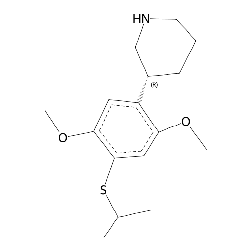 COc1cc([C@H]2CCCNC2)c(OC)cc1SC(C)C